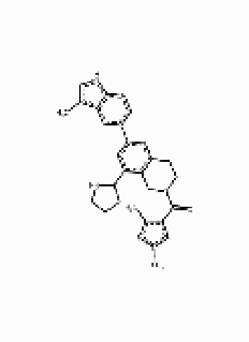 Cc1nn(C)cc1C(=O)N1CCc2cc(-c3cnc4[nH]cc(C)c4c3)cc(C3CCCN3)c2C1